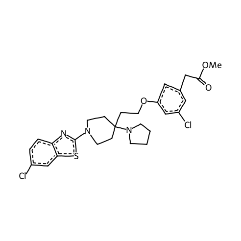 COC(=O)Cc1cc(Cl)cc(OCCC2(N3CCCC3)CCN(c3nc4ccc(Cl)cc4s3)CC2)c1